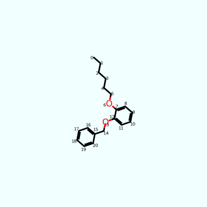 CCCCCCOc1ccccc1OCc1ccccc1